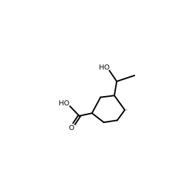 CC(O)C1[CH]CCC(C(=O)O)C1